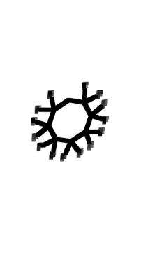 FC1(F)CC(F)(F)C(F)(F)C(F)(F)C(F)(F)C(F)(F)C1(F)F